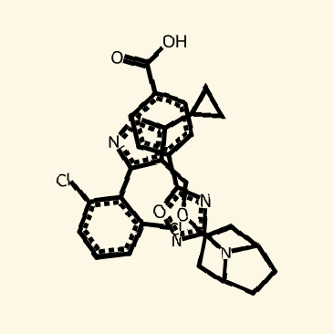 O=C(O)c1ccc(-c2nc(N3C4CCC3CC(OCc3c(-c5c(Cl)cccc5Cl)noc3C3CC3)C4)no2)cc1